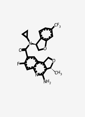 C[C@H]1OCc2c1c(N)nc1cc(F)c(C(=O)N(C3CC3)[C@@H]3COc4cc(C(F)(F)F)ccc43)cc21